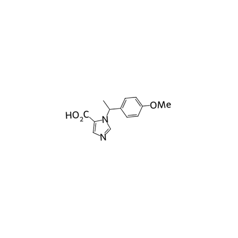 COc1ccc(C(C)n2cncc2C(=O)O)cc1